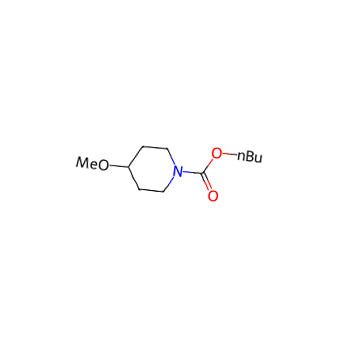 [CH2]OC1CCN(C(=O)OCCCC)CC1